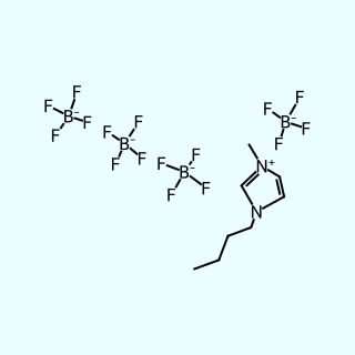 CCCCn1cc[n+](C)c1.F[B-](F)(F)F.F[B-](F)(F)F.F[B-](F)(F)F.F[B-](F)(F)F